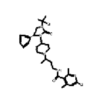 CCC(C)(C)N1C[C@@H](c2ccccc2)N(C2CCN(C(C)CCNC(=O)c3c(C)cc(Cl)nc3C)CC2)C1=O